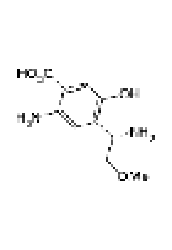 COC[C@@H](N)c1cc(N)c(C(=O)O)cc1O